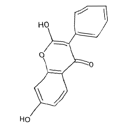 O=c1c(-c2ccccc2)c(O)oc2cc(O)ccc12